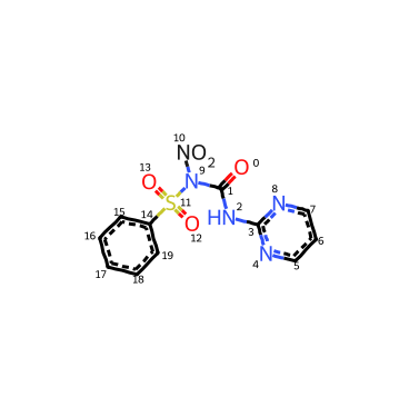 O=C(Nc1ncccn1)N([N+](=O)[O-])S(=O)(=O)c1ccccc1